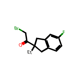 CCC1(C(=O)CBr)Cc2ccc(F)cc2C1